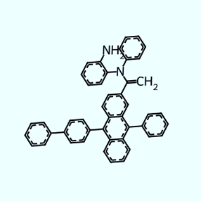 C=C(c1ccc2c(-c3ccc(-c4ccccc4)cc3)c3ccccc3c(-c3ccccc3)c2c1)N(c1ccccc1)c1ccccc1N